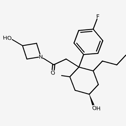 CCCC1C[C@@H](O)CC(C)C1(CC(=O)N1CC(O)C1)c1ccc(F)cc1